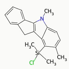 Cc1ccc2c(c3c(n2C)-c2ccccc2C3)c1[Si](C)(C)Cl